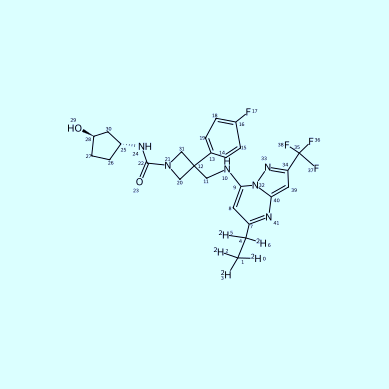 [2H]C([2H])([2H])C([2H])([2H])c1cc(NCC2(c3ccc(F)cc3)CN(C(=O)N[C@@H]3CC[C@@H](O)C3)C2)n2nc(C(F)(F)F)cc2n1